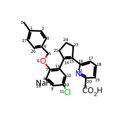 Cc1ccc(COc2ccc(Cl)cc2C2=C(c3cccc(C(=O)O)n3)CCC2)cc1.[NaH]